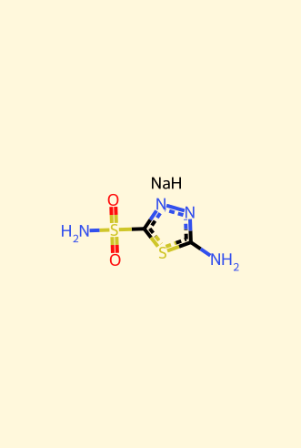 Nc1nnc(S(N)(=O)=O)s1.[NaH]